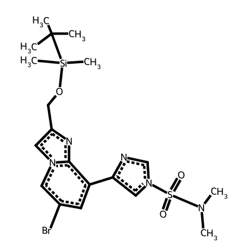 CN(C)S(=O)(=O)n1cnc(-c2cc(Br)cn3cc(CO[Si](C)(C)C(C)(C)C)nc23)c1